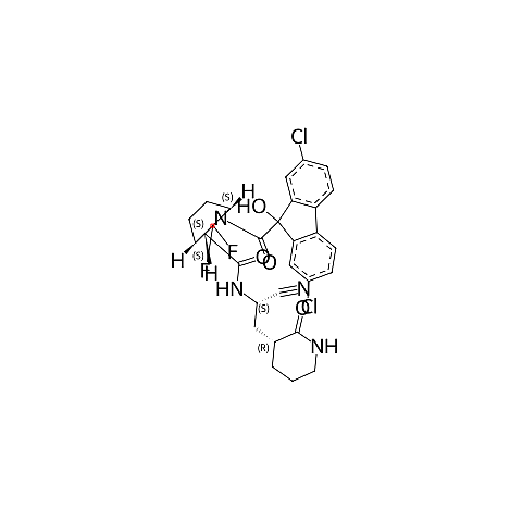 N#C[C@H](C[C@H]1CCCNC1=O)NC(=O)[C@@H]1[C@@H]2CC[C@@H](CC2(F)F)N1C(=O)C1(O)c2cc(Cl)ccc2-c2ccc(Cl)cc21